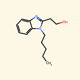 CCCCCn1c(CCO)nc2ccccc21